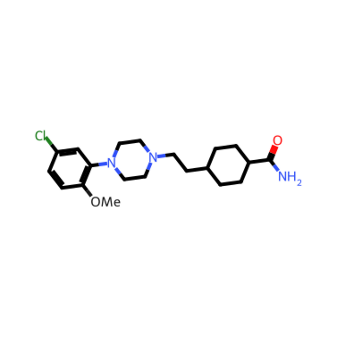 COc1ccc(Cl)cc1N1CCN(CCC2CCC(C(N)=O)CC2)CC1